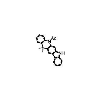 CC(=O)N1c2ccccc2C(C)(C)c2cc3c(cc21)[nH]c1ccccc13